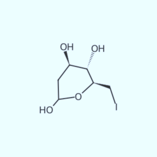 OC1C[C@@H](O)[C@H](O)[C@@H](CI)O1